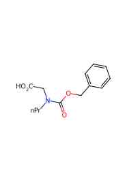 CCCN(CC(=O)O)C(=O)OCc1ccccc1